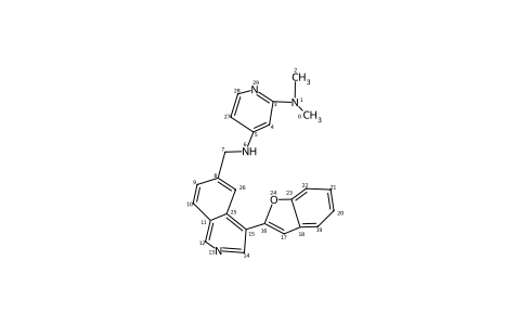 CN(C)c1cc(NCc2ccc3cncc(-c4cc5ccccc5o4)c3c2)ccn1